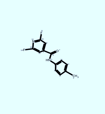 Cc1ccc(NC(=O)c2cc(F)nc(F)c2)cc1